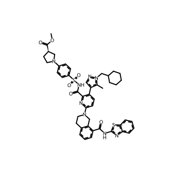 COC(=O)[C@@H]1CCN(c2ccc(S(=O)(=O)NC(=O)c3nc(N4CCc5cccc(C(=O)Nc6nc7ccccc7s6)c5C4)ccc3-c3cnn(CC4CCCCC4)c3C)cc2)C1